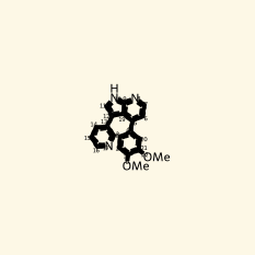 COc1ccc(-c2ccnc3[nH]cc(-c4cccnc4)c23)cc1OC